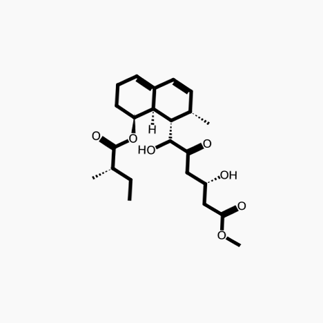 CC[C@H](C)C(=O)O[C@H]1CCC=C2C=C[C@H](C)[C@H](C(O)C(=O)C[C@H](O)CC(=O)OC)[C@H]21